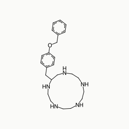 c1ccc(COc2ccc(CC3CNCCNCCNCCNCCN3)cc2)cc1